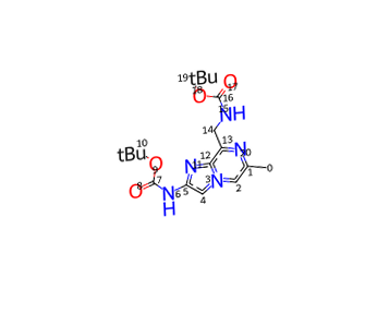 Cc1cn2cc(NC(=O)OC(C)(C)C)nc2c(CNC(=O)OC(C)(C)C)n1